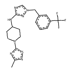 Cc1nsc(N2CCC(Nc3ncn(Cc4cccc(C(F)(F)F)c4)n3)CC2)n1